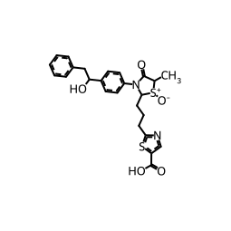 CC1C(=O)N(c2ccc(C(O)Cc3ccccc3)cc2)C(CCCc2ncc(C(=O)O)s2)[S+]1[O-]